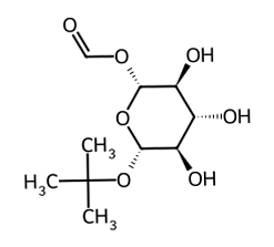 CC(C)(C)O[C@@H]1O[C@H](OC=O)[C@@H](O)[C@H](O)[C@H]1O